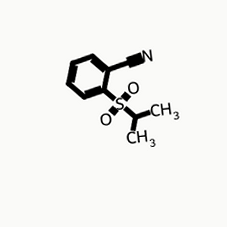 CC(C)S(=O)(=O)c1ccccc1C#N